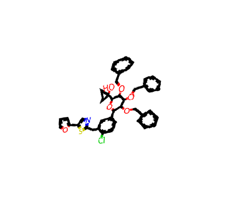 OC1(C2OC(c3ccc(Cl)c(Cc4ncc(-c5ccco5)s4)c3)C(OCc3ccccc3)C(OCc3ccccc3)C2OCc2ccccc2)CC1